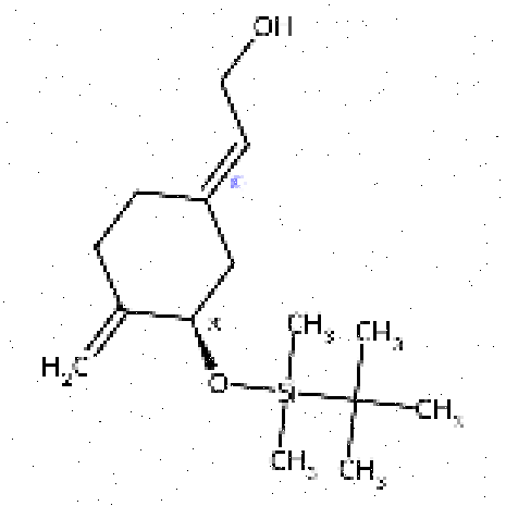 C=C1CC/C(=C\CO)C[C@H]1O[Si](C)(C)C(C)(C)C